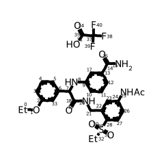 CCOc1cccc(C(Nc2cccc(C(N)=O)c2)C(=O)NCc2cc(NC(C)=O)ccc2S(=O)(=O)CC)c1.O=C(O)C(F)(F)F